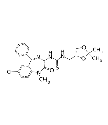 CN1C(=O)C(NC(=S)NCC2COC(C)(C)O2)N=C(c2ccccc2)c2cc(Cl)ccc21